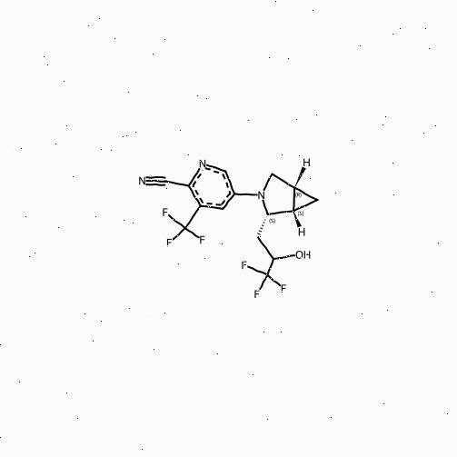 N#Cc1ncc(N2C[C@@H]3C[C@@H]3[C@@H]2CC(O)C(F)(F)F)cc1C(F)(F)F